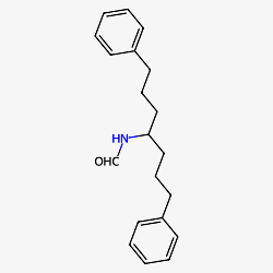 O=CNC(CCCc1ccccc1)CCCc1ccccc1